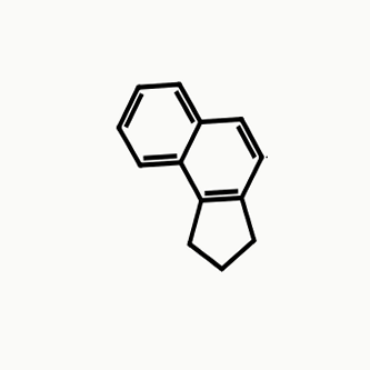 [c]1cc2ccccc2c2c1CCC2